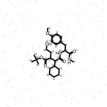 CNC(=O)C(Cc1ccc(OC)cc1)NC(=O)C(C1CCCCC1)C(CCO)C(=O)OC(C)(C)C